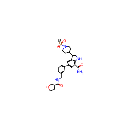 CCS(=O)(=O)N1CCC(C2CNc3c(C(N)=O)cc(-c4cccc(CNC(=O)C5CCOC5)c4)cc32)CC1